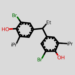 CCC(c1cc(Br)c(O)c(C(C)C)c1)c1cc(Br)c(O)c(C(C)C)c1